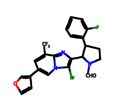 O=CN1CCC(c2ccccc2F)C1c1nc2c(C(F)(F)F)cc(-c3ccoc3)cn2c1Br